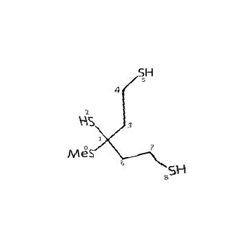 CSC(S)(CCS)CCS